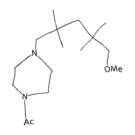 COCC(C)(C)CC(C)(C)CN1CCN(C(C)=O)CC1